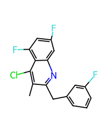 Cc1c(Cc2cccc(F)c2)nc2cc(F)cc(F)c2c1Cl